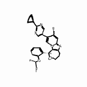 Fc1cc2nc3c(n2cc1-c1cnc(C2CC2)nc1)[C@@H](c1ccccc1OC(F)F)OCC3